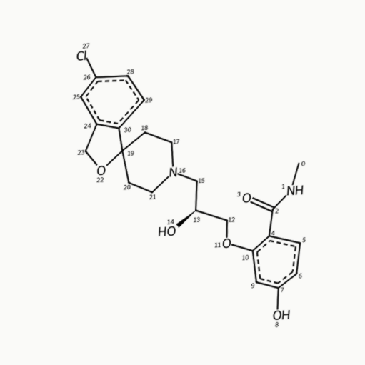 CNC(=O)c1ccc(O)cc1OC[C@@H](O)CN1CCC2(CC1)OCc1cc(Cl)ccc12